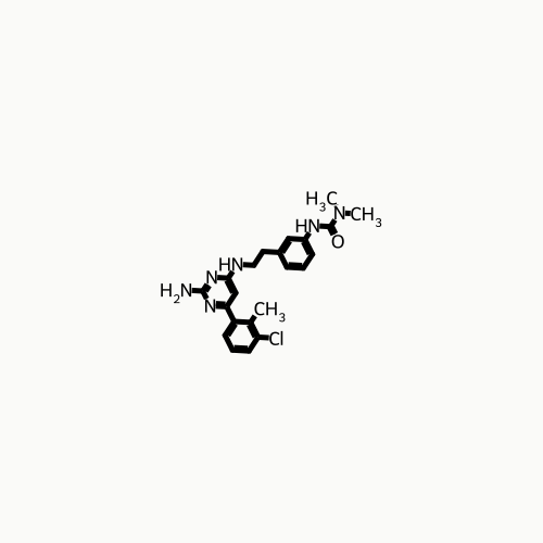 Cc1c(Cl)cccc1-c1cc(NCCc2cccc(NC(=O)N(C)C)c2)nc(N)n1